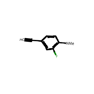 C#Cc1ccc(NC)c(F)c1